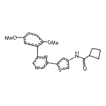 COc1ccc(OC)c(-c2cncc(-c3cc(NC(=O)C4CCC4)cs3)n2)c1